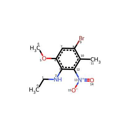 CCNc1c(OC)cc(Br)c(C)c1[N+](=O)[O-]